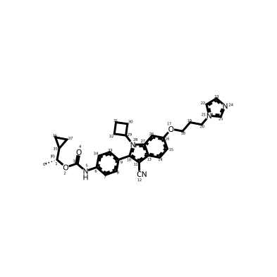 C[C@@H](OC(=O)Nc1ccc(-c2c(C#N)c3ccc(OCCCn4ccnc4)cc3n2C2CCC2)cc1)C1CC1